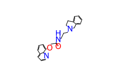 O=C(COc1cccc2cccnc12)NCCCN1CCc2ccccc2C1